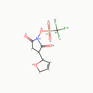 O=C1CC(C2C=CCO2)C(=O)N1OS(=O)(=O)C(F)(F)F